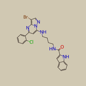 O=C(NCCCCNc1cc(-c2ccccc2Cl)nc2c(Br)cnn12)c1cc2ccccc2[nH]1